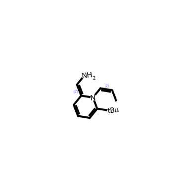 C/C=C\N1C(C(C)(C)C)=CC=C/C1=C/N